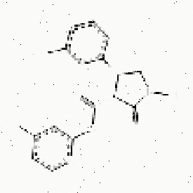 CN1C[C@H](c2cccc(C(F)(F)F)c2)[C@@H](C(=O)Nc2cc(C#N)ccn2)C1=O